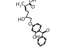 CC(=CCC(O)COc1ccc(C(=O)c2ccccc2)c(O)c1)C(=O)O